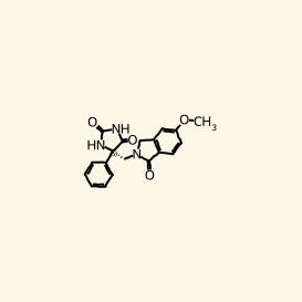 COc1ccc2c(c1)CN(C[C@]1(c3ccccc3)NC(=O)NC1=O)C2=O